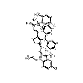 C=C(/C=C/C1=C(N(c2ccccc2)c2ccccc2)C(=C/C=C2/N(CCO)c3ccc(Cl)cc3C2(C)C)/CC1)C(C)(C)c1cc(Cl)ccc1C